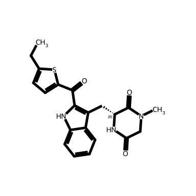 CCc1ccc(C(=O)c2[nH]c3ccccc3c2C[C@H]2NC(=O)CN(C)C2=O)s1